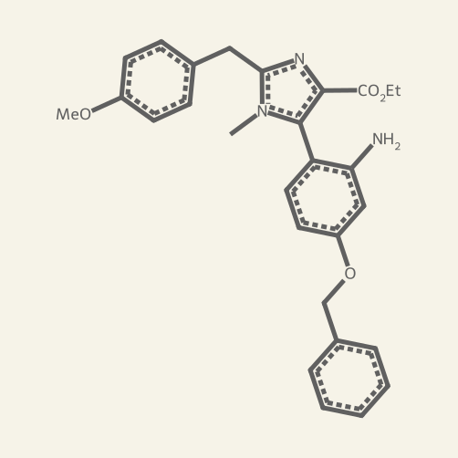 CCOC(=O)c1nc(Cc2ccc(OC)cc2)n(C)c1-c1ccc(OCc2ccccc2)cc1N